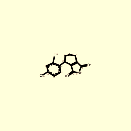 O=C1NC(=O)C2=C1CCCC2c1ccc(Cl)cc1F